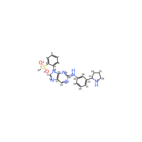 CS(=O)(=O)c1ccccc1-n1cnc2cnc(Nc3cccc(C4CCCN4)c3)nc21